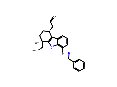 C=CC[C@@H]1CC[C@](CC)(CC(=O)O)c2[nH]c3c(CC)cccc3c21.NCc1ccccc1